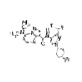 CC(C)[C@H]1CC[C@H](n2cc(NC(=O)c3cnn4c(N(C)C)ccnc34)c(C(F)F)n2)CC1